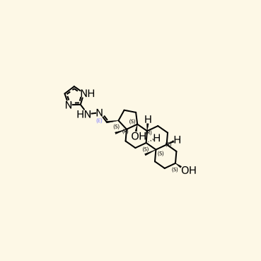 C[C@]12CC[C@H](O)C[C@H]1CC[C@@H]1[C@@H]2CC[C@]2(C)[C@@H](/C=N/Nc3ncc[nH]3)CC[C@]12O